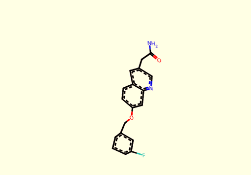 NC(=O)Cc1cnc2cc(OCc3cccc(F)c3)ccc2c1